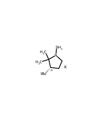 CC(C)(C)[C@H]1CCN([SiH3])C1(C)C.[K]